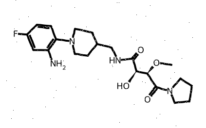 CO[C@@H](C(=O)N1CCCC1)[C@@H](O)C(=O)NCC1CCN(c2ccc(F)cc2N)CC1